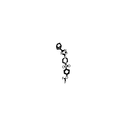 O=S(=O)(c1ccc(OC(F)F)cc1)N1CCN(c2nc(C3CC4CCC3C4)no2)CC1